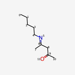 CCCCC/N=C(\C)CC(C)=O